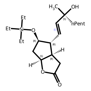 CCCCC[C@](C)(O)/C=C/[C@@H]1[C@H]2CC(=O)O[C@H]2C[C@H]1O[Si](CC)(CC)CC